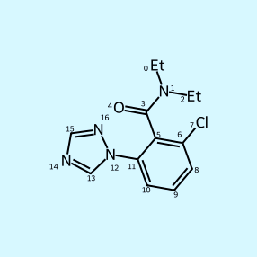 CCN(CC)C(=O)c1c(Cl)cccc1-n1cncn1